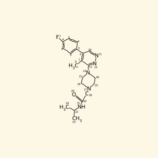 Cc1c(-c2ccc(F)cc2)cnnc1N1CCN(CC(=O)NC(C)C)CC1